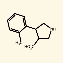 Cc1ccccc1C1CNCC1C(=O)O